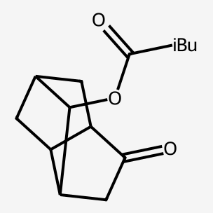 CCC(C)C(=O)OC1C2CC3C(=O)CC1C3C2